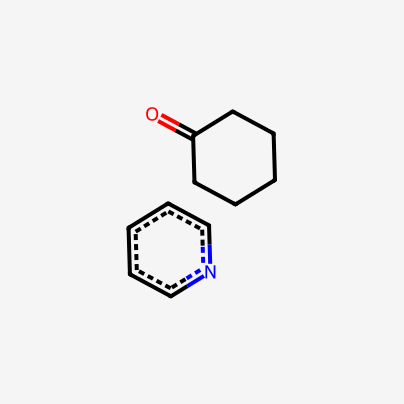 O=C1CCCCC1.c1ccncc1